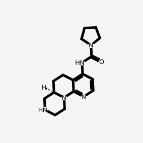 O=C(Nc1ccnc2c1CC[C@@H]1CNCCN21)N1CCCC1